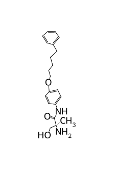 C[C@](N)(CO)C(=O)Nc1ccc(OCCCCCc2ccccc2)cc1